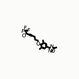 Cc1nc(-c2cc(C)c(OCCCC#CC(=O)C(F)(F)F)c(C)c2)no1